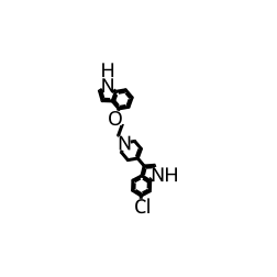 Clc1ccc2c(C3=CCN(CCOc4cccc5[nH]ccc45)CC3)c[nH]c2c1